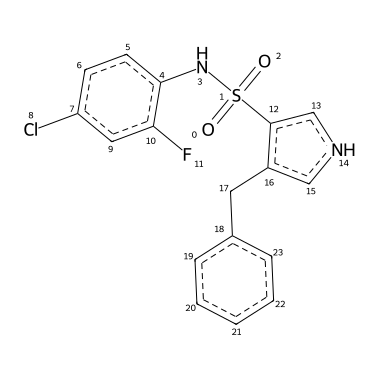 O=S(=O)(Nc1ccc(Cl)cc1F)c1c[nH]cc1Cc1ccccc1